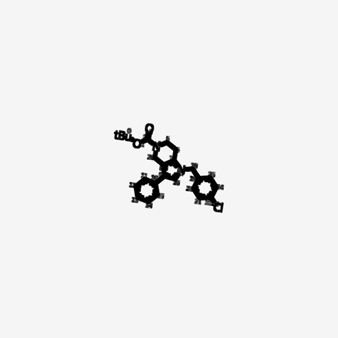 CC(C)(C)OC(=O)N1CCc2c(c(-c3ccccc3)cn2Cc2ccc(Cl)cc2)C1